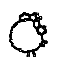 O=C1CNC(=O)c2cnc3c(c2)CC2(C3)C(=O)Nc3ncc(cc32)C=CCCCCCCCN1